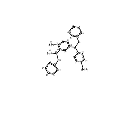 Nc1ccc(C(Cc2ccccc2)c2ccc(N)c(C(O)Cc3ccccc3)c2)cc1